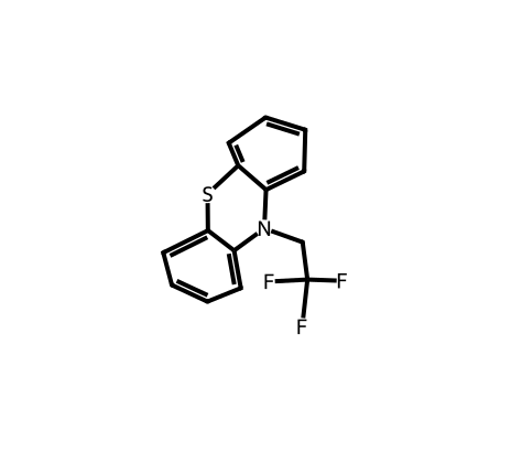 FC(F)(F)CN1c2ccccc2Sc2ccccc21